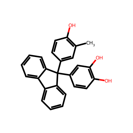 Cc1cc(C2(c3ccc(O)c(O)c3)c3ccccc3-c3ccccc32)ccc1O